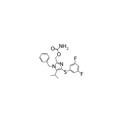 CC(C)c1c(Sc2cc(F)cc(F)c2)nc(COC(N)=O)n1Cc1ccccc1